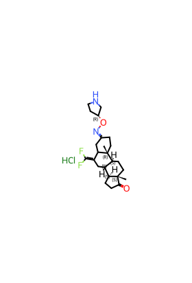 C[C@]12CCC(=NO[C@@H]3CCNC3)CC1C(=C(F)F)C[C@@H]1[C@@H]2CC[C@]2(C)C(=O)CC[C@@H]12.Cl